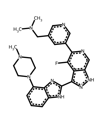 CN(C)Cc1cncc(-c2ncc3[nH]nc(-c4nc5c(N6CCN(C)CC6)cccc5[nH]4)c3c2F)c1